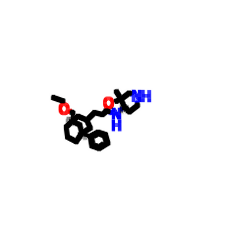 CCOC[C@@]12CCC[C@@](c3ccccc3)(CC(CCC(=O)N[C@@H]3CCNCC3(C)C)C1)C2